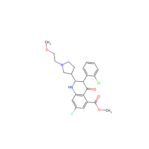 COCCN1CCC(C2Nc3cc(F)cc(C(=O)OC)c3C(=O)C2c2ccccc2Cl)C1